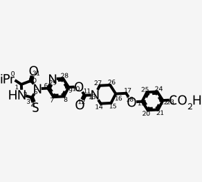 CC(C)C1NC(=S)N(c2ccc(OC(=O)N3CCC(COc4ccc(C(=O)O)cc4)CC3)cn2)C1=O